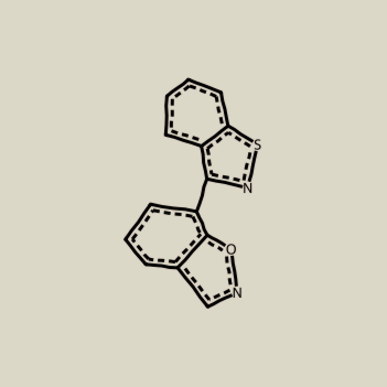 c1cc(-c2nsc3ccccc23)c2oncc2c1